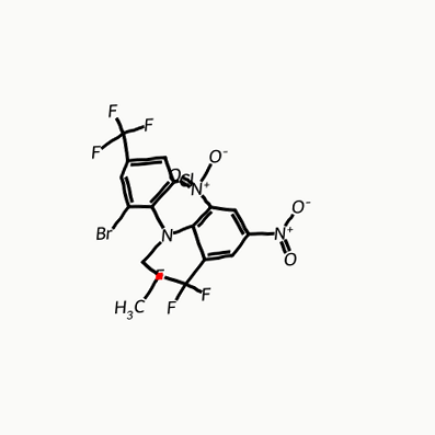 CCCN(c1c(Cl)cc(C(F)(F)F)cc1Br)c1c([N+](=O)[O-])cc([N+](=O)[O-])cc1C(F)(F)F